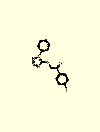 O=C(CSc1nnnn1-c1ccccc1)c1ccc(F)cc1